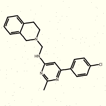 Cc1nc(NCN2CCc3ccccc3C2)cc(-c2ccc(Cl)cc2)n1